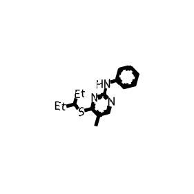 CCC(CC)Sc1nc(Nc2ccccc2)ncc1C